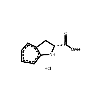 COC(=O)[C@H]1Cc2ccccc2N1.Cl